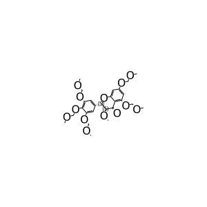 COCOc1cc(OCOC)c2c(c1)O[C@@H](c1cc(OCOC)c(OCOC)c(OCOC)c1)[C@H](OC)C2=O